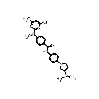 Cc1cc(C)nc(N(C)c2ccc(C(=O)Nc3ccc(N4CCC(N(C)C)C4)cc3)cc2)n1